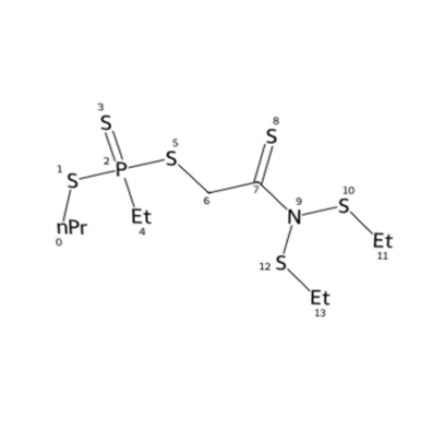 CCCSP(=S)(CC)SCC(=S)N(SCC)SCC